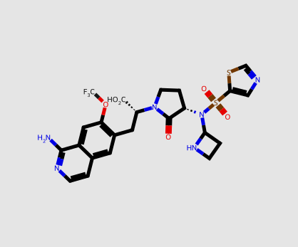 Nc1nccc2cc(C[C@H](C(=O)O)N3CC[C@H](N(C4CCN4)S(=O)(=O)c4cncs4)C3=O)c(OC(F)(F)F)cc12